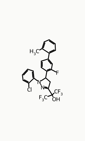 Cc1ccccc1-c1ccc(C2CC(C(O)(C(F)(F)F)C(F)(F)F)=NN2c2ccccc2Cl)c(F)c1